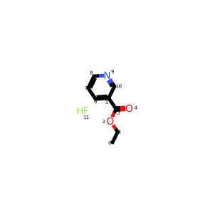 CCOC(=O)c1cccnc1.F